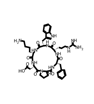 N=C(N)NCCC[C@@H]1NC(=O)[C@H](Cc2ccccc2)NC(=O)[C@@H]2CCCN2C(=O)[C@H](CC(=O)O)NC(=O)[C@H](CCCCN)NC(=O)[C@H](Cc2c[nH]c3ccccc23)NC1=O